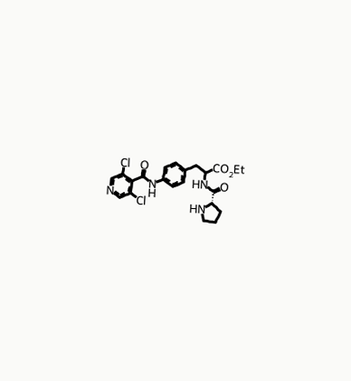 CCOC(=O)C(Cc1ccc(NC(=O)c2c(Cl)cncc2Cl)cc1)NC(=O)[C@@H]1CCCN1